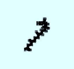 C=C(C)CC/C(C)=C/CC/C(C)=C/CC[PH](C)(C)CP(C)O